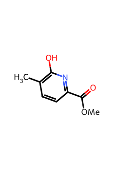 COC(=O)c1ccc(C)c(O)n1